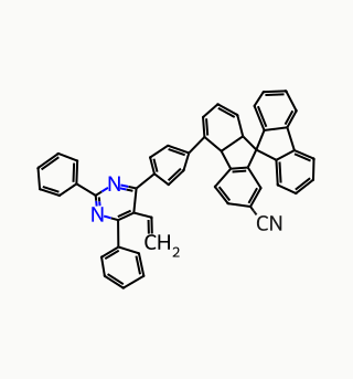 C=Cc1c(-c2ccccc2)nc(-c2ccccc2)nc1-c1ccc(C2=CC=CC3C2c2ccc(C#N)cc2C32c3ccccc3-c3ccccc32)cc1